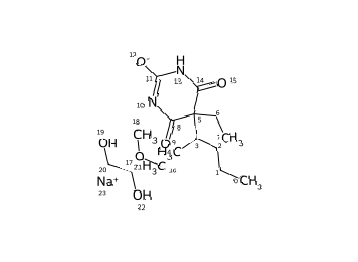 CCCC(C)C1(CC)C(=O)N=C([O-])NC1=O.COC.OCCO.[Na+]